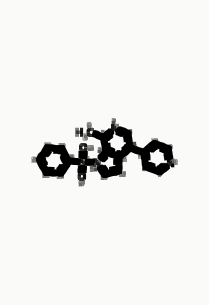 Cc1ncc(-c2c[c]ncc2)c2ccn(S(=O)(=O)c3ccccc3)c12